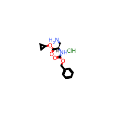 Cl.NC[C@@H](NC(=O)OCc1ccccc1)C(=O)OC1CC1